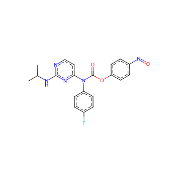 CC(C)Nc1nccc(N(C(=O)Oc2ccc(N=O)cc2)c2ccc(F)cc2)n1